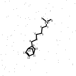 CN(C)CCCCCCC1CC2C=CC1C2